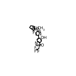 CN1C2CCC1[C@@H](F)[C@@H](N(C)c1ccc(-c3cc4ncn(CC(F)(F)F)c(=O)c4cc3O)nn1)C2